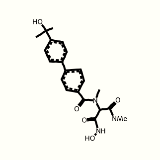 CNC(=O)C(C(=O)NO)N(C)C(=O)c1ccc(-c2ccc(C(C)(C)O)cc2)cc1